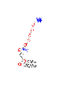 COc1ccc2c(=O)cc(-c3ccc(C(=O)NCCOCCOCCOCCOCCOCCn4ccnn4)cc3)oc2c1OC